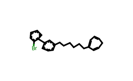 Brc1ccccc1-c1cccc(CCCCCCC2=CC=CCC=C2)c1